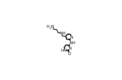 NCCCNCc1ccnc(Nc2cc[nH]c(=O)n2)c1